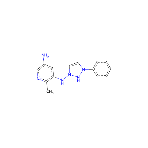 Cc1ncc(N)cc1NN1C=CN(c2ccccc2)N1